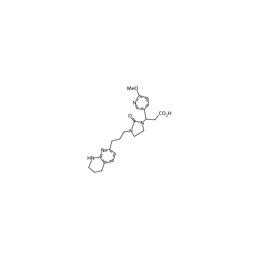 COc1ccc(C(CC(=O)O)N2CCN(CCCc3ccc4c(n3)NCCC4)C2=O)cn1